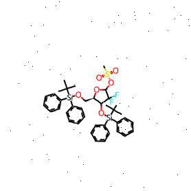 CC(C)(C)[Si](OC[C@H]1OC(OS(C)(=O)=O)C(F)(F)C1O[Si](c1ccccc1)(c1ccccc1)C(C)(C)C)(c1ccccc1)c1ccccc1